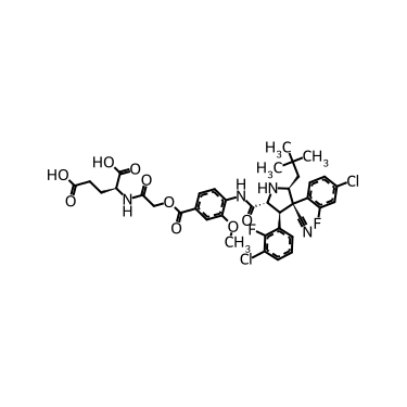 COc1cc(C(=O)OCC(=O)N[C@@H](CCC(=O)O)C(=O)O)ccc1NC(=O)[C@@H]1N[C@@H](CC(C)(C)C)[C@](C#N)(c2ccc(Cl)cc2F)[C@H]1c1cccc(Cl)c1F